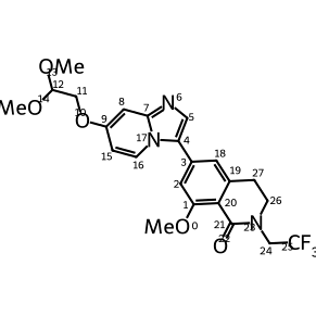 COc1cc(-c2cnc3cc(OCC(OC)OC)ccn23)cc2c1C(=O)N(CC(F)(F)F)CC2